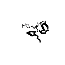 CCCCC1=[C]([Ti]([CH]2C=Cc3ccccc32)=[Si](C)C)CC=C1.Cl.Cl